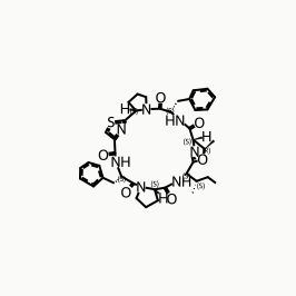 CC[C@H](C)[C@@H]1NC(=O)[C@@H]2CCCN2C(=O)[C@H](Cc2ccccc2)NC(=O)c2csc(n2)[C@@H]2CCCN2C(=O)[C@H](Cc2ccccc2)NC(=O)[C@H]2N=C1O[C@@H]2C